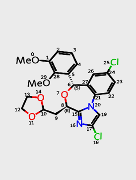 COc1cccc([C@H]2O[C@H](CC3OCCO3)c3nc(Cl)cn3-c3ccc(Cl)cc32)c1OC